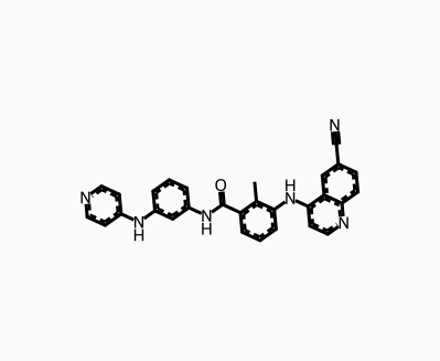 Cc1c(Nc2ccnc3ccc(C#N)cc23)cccc1C(=O)Nc1cccc(Nc2ccncc2)c1